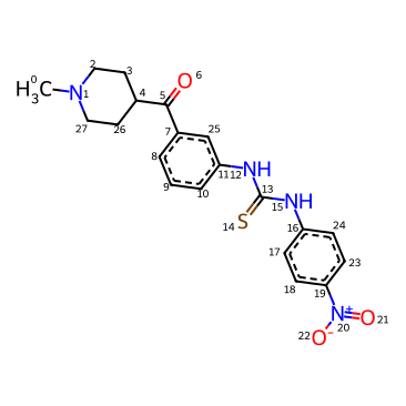 CN1CCC(C(=O)c2cccc(NC(=S)Nc3ccc([N+](=O)[O-])cc3)c2)CC1